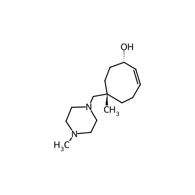 CN1CCN(C[C@@]2(C)CC/C=C\[C@@H](O)CC2)CC1